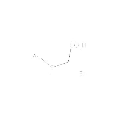 CC[C@H](SC(C)=O)C(=O)O